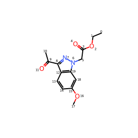 CCOC(=O)Cn1nc(C(C)=O)c2ccc(OC)cc21